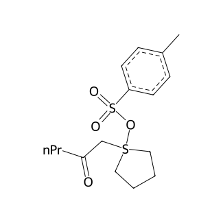 CCCC(=O)CS1(OS(=O)(=O)c2ccc(C)cc2)CCCC1